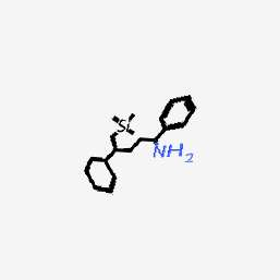 C[Si](C)(C)CC(CCC(N)c1ccccc1)C1CCCCC1